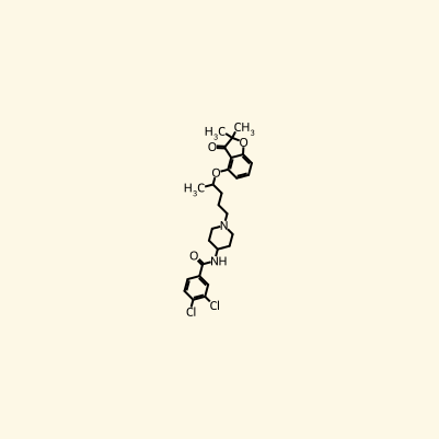 CC(CCCN1CCC(NC(=O)c2ccc(Cl)c(Cl)c2)CC1)Oc1cccc2c1C(=O)C(C)(C)O2